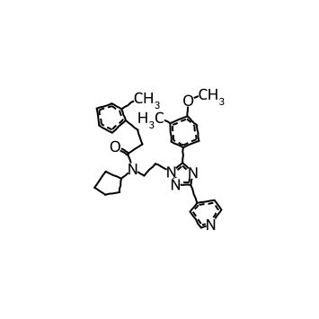 COc1ccc(-c2nc(-c3ccncc3)nn2CCN(C(=O)CCc2ccccc2C)C2CCCC2)cc1C